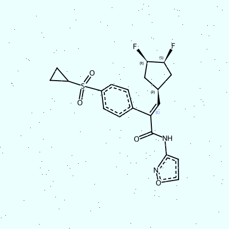 O=C(Nc1ccon1)/C(=C/[C@H]1C[C@@H](F)[C@@H](F)C1)c1ccc(S(=O)(=O)C2CC2)cc1